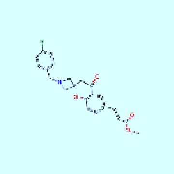 COC(=O)C=Cc1ccc2c(c1)C(=O)CC1(CN(Cc3ccc(F)cc3)C1)O2